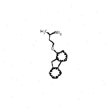 CC(N)CCOc1cccc2c1Cc1ccccc1-2